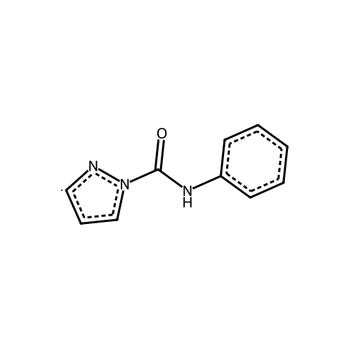 O=C(Nc1ccccc1)n1cc[c]n1